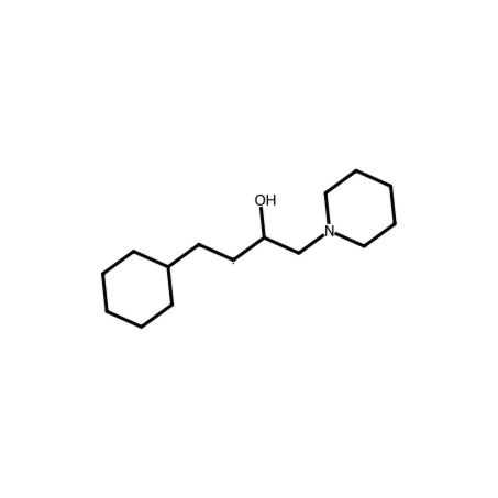 OC([CH]CC1CCCCC1)CN1CCCCC1